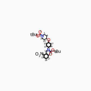 CC(C)(C)OC(=O)N1CCC(Oc2ccc(N(Cc3ccccc3[N+](=O)[O-])C(=O)OC(C)(C)C)cc2)CC1